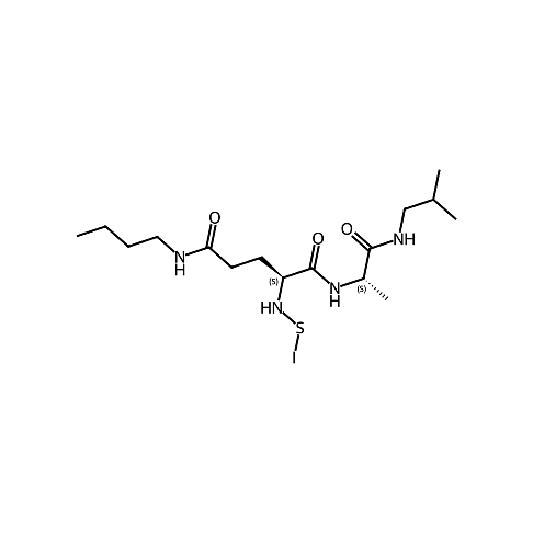 CCCCNC(=O)CC[C@H](NSI)C(=O)N[C@@H](C)C(=O)NCC(C)C